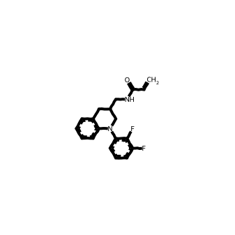 C=CC(=O)NCC1Cc2ccccc2N(c2cccc(F)c2F)C1